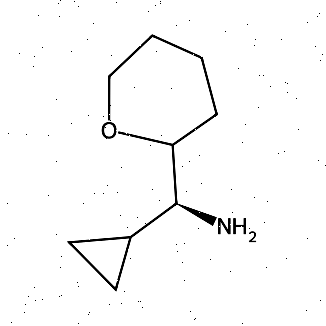 N[C@@H](C1CC1)C1CCCCO1